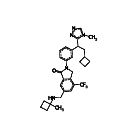 Cn1cnnc1C(CC1CCC1)c1cccc(N2Cc3c(cc(CNC4(C)CCC4)cc3C(F)(F)F)C2=O)c1